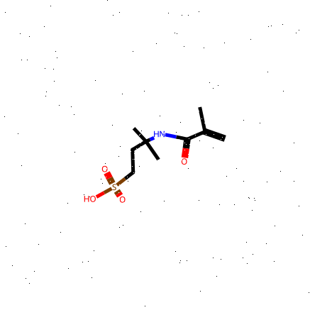 C=C(C)C(=O)NC(C)(C)CCS(=O)(=O)O